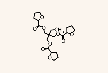 CCC(COC(=O)C1CCCO1)(COC(=O)C1CCCO1)COC(=O)C1CCCO1